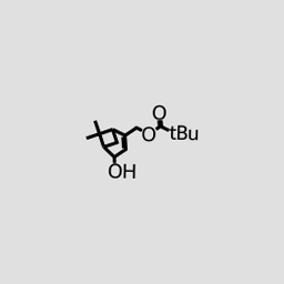 CC(C)(C)C(=O)OCC1=CC(O)C2CC1C2(C)C